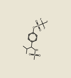 CC(C)C(NS(C)(=O)=O)c1ccc(OS(=O)(=O)C(F)(F)F)cc1